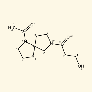 CC(=O)N1CCSC12CCN(C(=O)CCO)C2